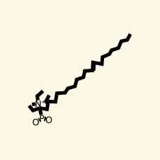 CCCCCCCCC=CCCCCCCCCCCC(CC)(P(=O)=O)[N+](C)(CC)CC